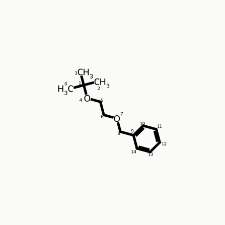 CC(C)(C)OCCOCc1ccccc1